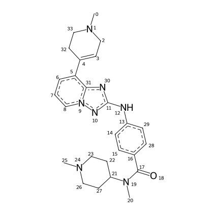 CN1CC=C(c2cccn3nc(Nc4ccc(C(=O)N(C)C5CCN(C)CC5)cc4)nc23)CC1